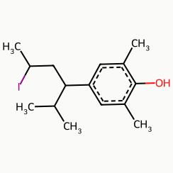 Cc1cc(C(CC(C)I)C(C)C)cc(C)c1O